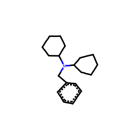 c1ccc(CN(C2CCCCC2)C2CCCCC2)cc1